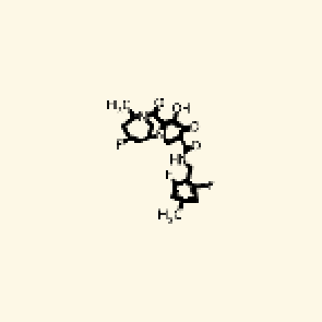 Cc1cc(F)c(CNC(=O)c2cn3c(c(O)c2=O)C(=O)N2CC3C=C(F)CC2C)c(F)c1